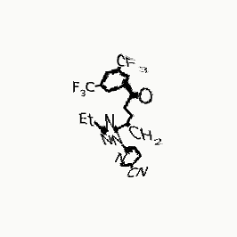 C=C(CCC(=O)c1cc(C(F)(F)F)cc(C(F)(F)F)c1)c1nc(CC)nn1-c1ccc(C#N)cn1